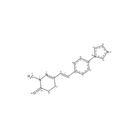 CN1N=C(/C=C/c2ccc(-n3ccnc3)cc2)CCC1=O